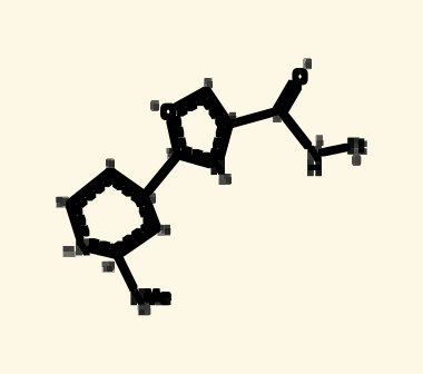 CCNC(=O)c1coc(-c2ccnc(NC)c2)n1